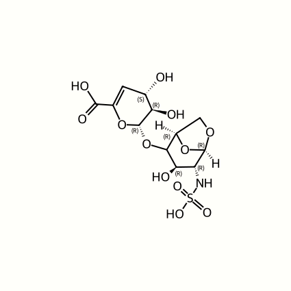 O=C(O)C1=C[C@H](O)[C@@H](O)[C@H](OC2[C@H]3CO[C@H](O3)[C@H](NS(=O)(=O)O)[C@H]2O)O1